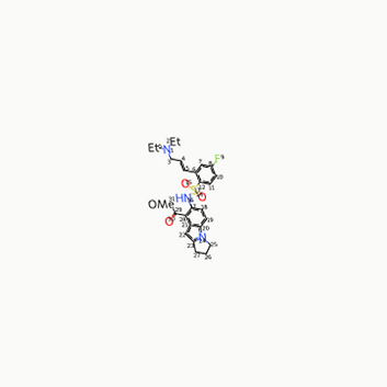 CCN(CC)CC=Cc1cc(F)ccc1S(=O)(=O)Nc1ccc2c(cc3n2CCC3)c1C(=O)OC